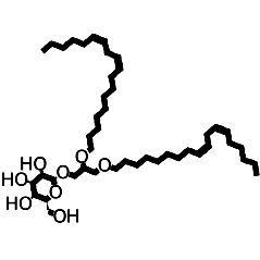 CCCCC/C=C\C/C=C\CCCCCCCCOCC(CO[C@@H]1O[C@H](CO)[C@H](O)[C@H](O)[C@H]1O)OCCCCCCCC/C=C\C/C=C\CCCCC